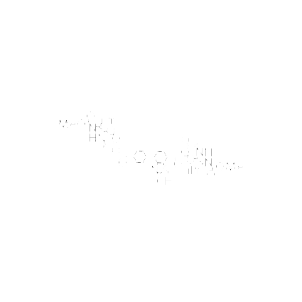 COC(=O)N[C@H](C(=O)N1CCC[C@H]1C(=O)OCC(=O)c1ccc(-c2ccc(C(=O)COC(=O)[C@@H]3CCCN3C(=O)[C@@H](NC(=O)OC)C(C)C)c3sc(C)nc23)cc1)C(C)C